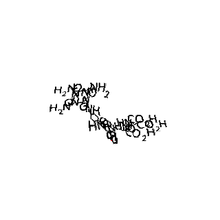 NC(=O)CN1CCN(CC(N)=O)CCN(CC(=O)NCC2CCC(C(=O)NC(Cc3ccc4ccccc4c3)C(=O)NCCCCC(NC(=O)NC(CCC(=O)O)C(=O)O)C(=O)O)CC2)CCN(CC(N)=O)CC1